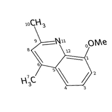 COc1cccc2c(C)cc(C)nc12